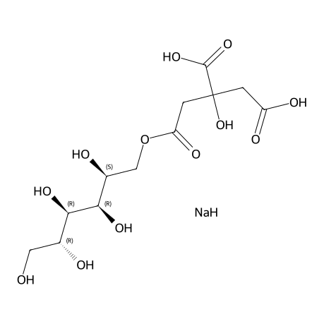 O=C(O)CC(O)(CC(=O)OC[C@H](O)[C@@H](O)[C@H](O)[C@H](O)CO)C(=O)O.[NaH]